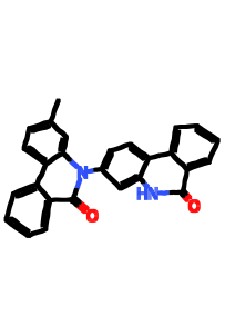 Cc1ccc2c3ccccc3c(=O)n(-c3ccc4c(c3)[nH]c(=O)c3ccccc34)c2c1